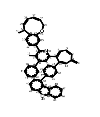 C=C1C=CC=C(c2cc(-c3ccccc3)c(C)c(-c3ccc4c(c3)OC/C=C\C=C/C4C)n2)C(c2ccc(-c3cccc4oc5ccccc5c34)cc2)=C1